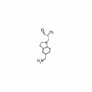 C[C@H](C=O)CN1CCc2cc(CN)ccc21